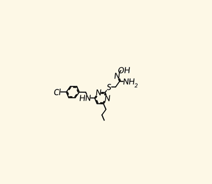 CCCc1cc(NCc2ccc(Cl)cc2)nc(SCC(N)=NO)n1